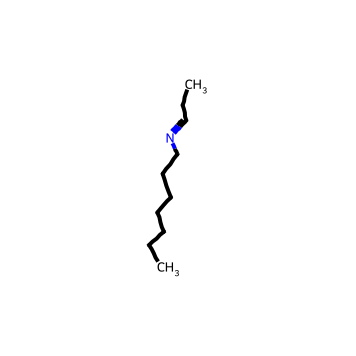 CC/C=N/CCCCCCC